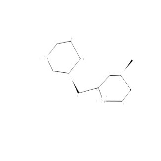 C[C@H]1CCNC(C[C@@H]2CCCNC2)C1